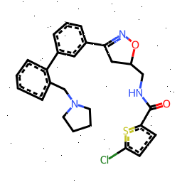 O=C(NCC1CC(c2cccc(-c3ccccc3CN3CCCC3)c2)=NO1)c1ccc(Cl)s1